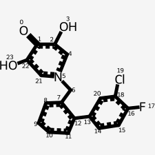 O=c1c(O)cn(Cc2ccccc2-c2ccc(F)c(Cl)c2)cc1O